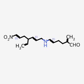 C=CC(/C=C/CN/C=C/CCC(=C)C=O)C/C=C/[N+](=O)[O-]